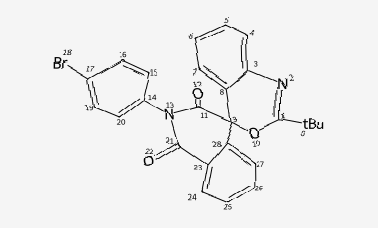 CC(C)(C)C1=Nc2ccccc2C2(O1)C(=O)N(c1ccc(Br)cc1)C(=O)c1ccccc12